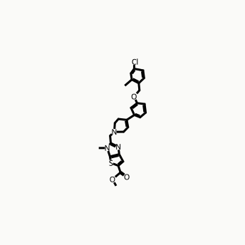 COC(=O)c1cc2nc(CN3CC=C(c4cccc(OCc5ccc(Cl)cc5C)c4)CC3)n(C)c2s1